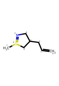 C=CCC1CN=S(C)C1